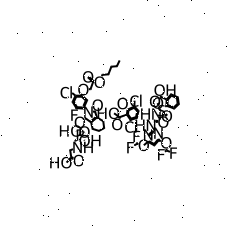 CCCCCOC(=O)COc1cc(N2C(=O)C3=C(CCCC3)C2=O)c(F)cc1Cl.COc1c(Cl)ccc(Cl)c1C(=O)O.O=C(Nc1nc(OC(F)F)cc(OC(F)F)n1)NS(=O)(=O)c1ccccc1C(=O)O.O=C(O)CNCP(=O)(O)O